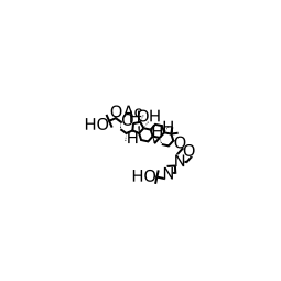 CC(=O)O[C@@H]([C@H]1C[C@@H](C)[C@H]2[C@H](O1)[C@H](O)[C@@]1(C)[C@@H]3CC[C@H]4C(C)(C)[C@@H](O[C@H]5CN(C6CN(CC(C)(C)O)C6)CCO5)CC[C@@]45C[C@@]35CC[C@]21C)C(C)(C)O